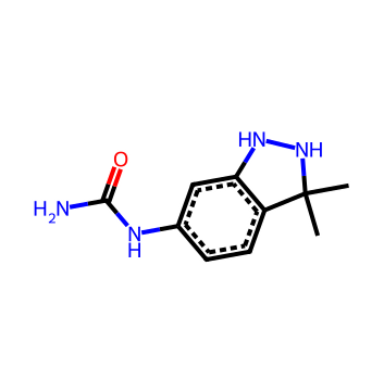 CC1(C)NNc2cc(NC(N)=O)ccc21